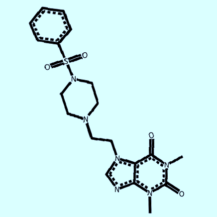 Cn1c(=O)c2c(ncn2CCN2CCN(S(=O)(=O)c3ccccc3)CC2)n(C)c1=O